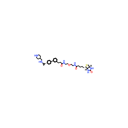 O=C(CCCC[C@@H]1SC[C@@H]2NC(=O)N[C@@H]21)NCCOCCNC(=O)CCc1cccc(-c2ccc([C@@H]3C[C@H]3NCC3CCNCC3)cc2)c1